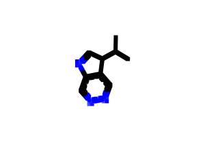 CC(C)C1C=Nc2cnncc21